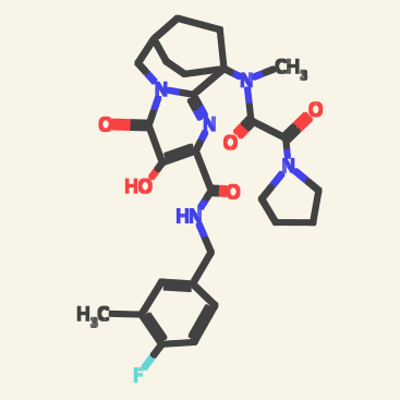 Cc1cc(CNC(=O)c2nc3n(c(=O)c2O)CC2CCC3(N(C)C(=O)C(=O)N3CCCC3)CC2)ccc1F